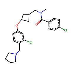 CN(CC1CC(Oc2ccc(CN3CCCC3)c(Cl)c2)C1)C(=O)c1ccc(Cl)cc1